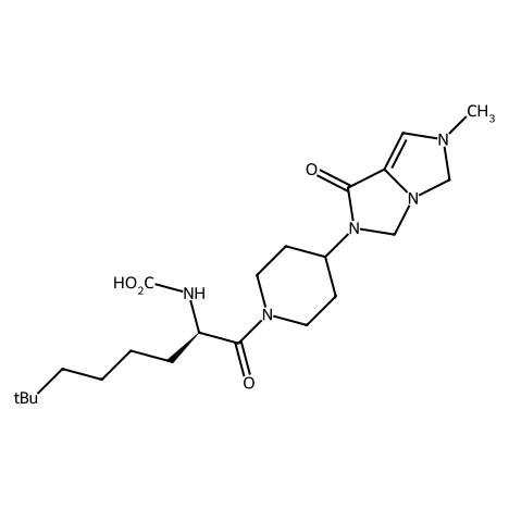 CN1C=C2C(=O)N(C3CCN(C(=O)[C@@H](CCCCC(C)(C)C)NC(=O)O)CC3)CN2C1